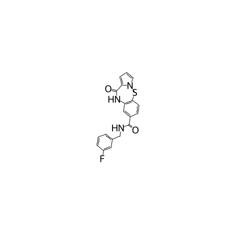 O=C(NCc1cccc(F)c1)c1ccc2c(c1)NC(=O)c1cccn1S2